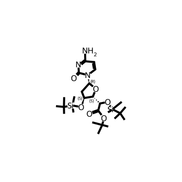 CC(C)(C)OC(=O)C(O[Si](C)(C)C(C)(C)C)[C@H]1O[C@@H](n2ccc(N)nc2=O)C[C@@H]1O[Si](C)(C)C(C)(C)C